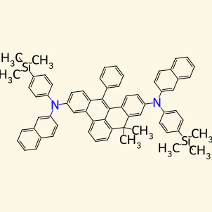 CC1(C)c2cc(N(c3ccc([Si](C)(C)C)cc3)c3ccc4ccccc4c3)ccc2-c2c(-c3ccccc3)c3ccc(N(c4ccc([Si](C)(C)C)cc4)c4ccc5ccccc5c4)cc3c3cccc1c23